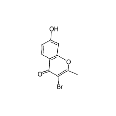 Cc1oc2cc(O)ccc2c(=O)c1Br